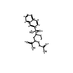 CCC(CC(CCC(=O)O)C(=O)O)P(=O)(O)c1ccc2ccccc2c1